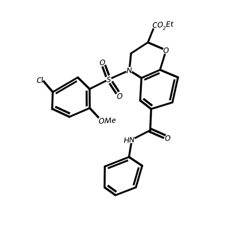 CCOC(=O)C1CN(S(=O)(=O)c2cc(Cl)ccc2OC)c2cc(C(=O)Nc3ccccc3)ccc2O1